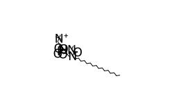 CCCCCCCCCCCCCCCCN(CCOP(=O)([O-])OCC[N+](C)(C)C)C(=O)NC